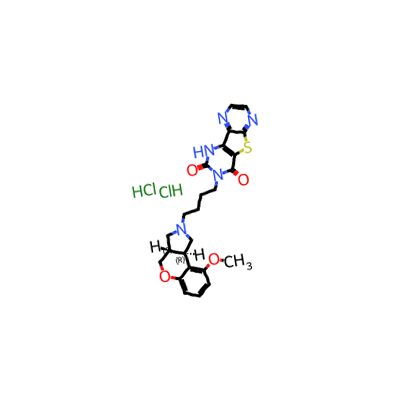 COc1cccc2c1[C@@H]1CN(CCCCn3c(=O)[nH]c4c(sc5nccnc54)c3=O)C[C@H]1CO2.Cl.Cl